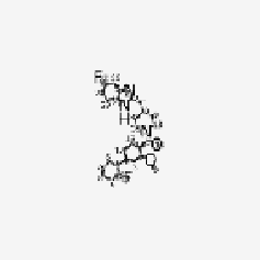 COc1cc(-c2ccccc2F)ccc1C(=O)N1CCC(Cc2nc3cc(F)ccc3[nH]2)CC1